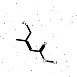 CCOC(=O)/C=C(/C)CC(C)C